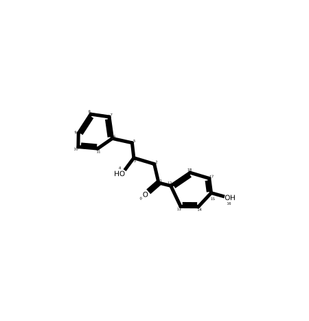 O=C(CC(O)Cc1ccccc1)c1ccc(O)cc1